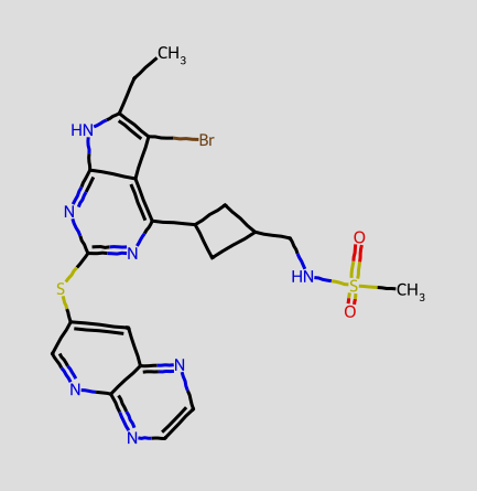 CCc1[nH]c2nc(Sc3cnc4nccnc4c3)nc(C3CC(CNS(C)(=O)=O)C3)c2c1Br